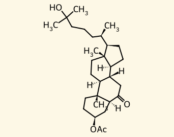 CC(=O)O[C@H]1CC[C@@]2(C)[C@H](C1)C(=O)C[C@@H]1[C@@H]2CC[C@]2(C)[C@@H]([C@H](C)CCCC(C)(C)O)CC[C@@H]12